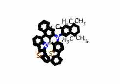 Cc1cc2c(cc1N1c3cc4ccccc4c4c3B(c3c1ccc1c3sc3ccccc31)n1c3c-4cccc3c3sc4ccccc4c31)C(C)(C)CCC2(C)C